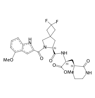 COC(=O)[C@H](C[C@@H]1CCCNC1=O)NC(=O)[C@@H]1CC2(CN1C(=O)c1cc3c(OC)cccc3[nH]1)CC(F)(F)C2